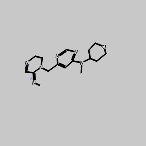 C/N=C1/C=NCCN1Cc1cc(N(C)C2CCOCC2)ncn1